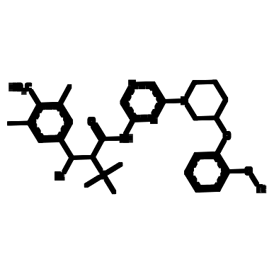 CCOc1ccccc1OC1CCCN(c2cncc(NC(=O)C(C(CC)c3cc(C)c(C(=O)O)c(C)c3)[Si](C)(C)C)n2)C1